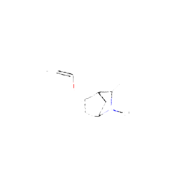 C=CO[C@H]1CC2CC1C(C(=O)O)N2C(=O)O